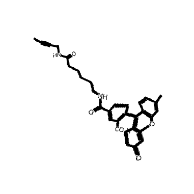 CC#CCNC(=O)CCCCCNC(=O)c1ccc(-c2c3ccc(=O)cc-3oc3cc(C)ccc23)c(C(=O)O)c1